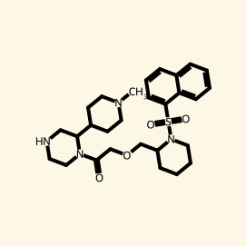 CN1CCC(C2CNCCN2C(=O)COCC2CCCCN2S(=O)(=O)c2cccc3ccccc23)CC1